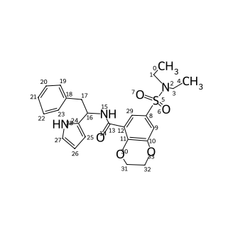 CCN(CC)S(=O)(=O)c1cc2c(c(C(=O)NC(Cc3ccccc3)c3ccc[nH]3)c1)OCCO2